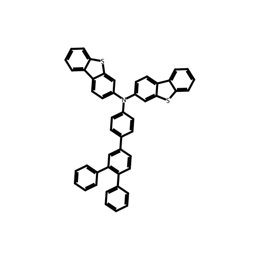 c1ccc(-c2ccc(-c3ccc(N(c4ccc5c(c4)sc4ccccc45)c4ccc5c(c4)sc4ccccc45)cc3)cc2-c2ccccc2)cc1